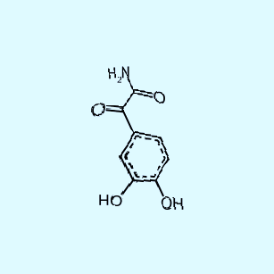 NC(=O)C(=O)c1ccc(O)c(O)c1